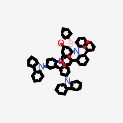 c1ccc(-c2cccc(-c3ccccc3)c2N2c3ccccc3B3c4ccccc4Oc4cc(-n5c6ccc(-n7c8ccccc8c8ccccc87)cc6c6cc(-n7c8ccccc8c8ccccc87)ccc65)cc2c43)cc1